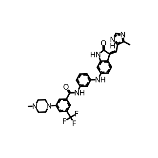 Cc1nc[nH]c1C=C1C(=O)Nc2cc(Nc3cccc(NC(=O)c4cc(N5CCN(C)CC5)cc(C(F)(F)F)c4)c3)ccc21